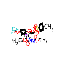 CCOC(=O)/N=N/C(=O)OCC.Cc1ccc(S(=O)(=O)OCC(C)Oc2ccc(OC(F)(F)F)cc2I)cc1